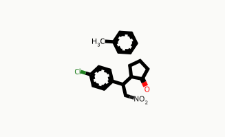 Cc1ccccc1.O=C1CCCC1C(C[N+](=O)[O-])c1ccc(Cl)cc1